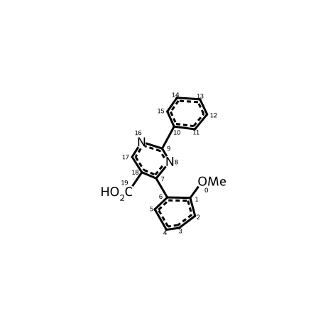 COc1ccccc1-c1nc(-c2ccccc2)ncc1C(=O)O